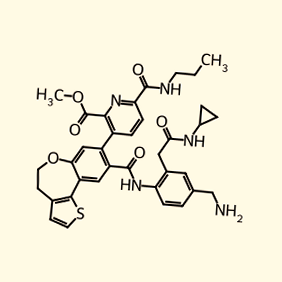 CCCNC(=O)c1ccc(-c2cc3c(cc2C(=O)Nc2ccc(CN)cc2CC(=O)NC2CC2)-c2sccc2CCO3)c(C(=O)OC)n1